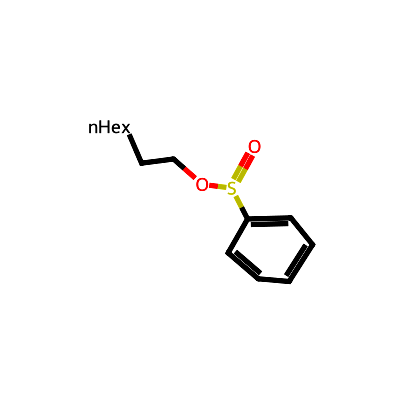 CCCCCCCCOS(=O)c1ccccc1